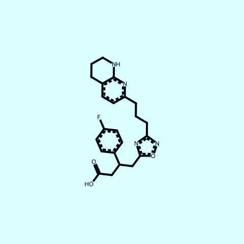 O=C(O)CC(Cc1nc(CCCc2ccc3c(n2)NCCC3)no1)c1ccc(F)cc1